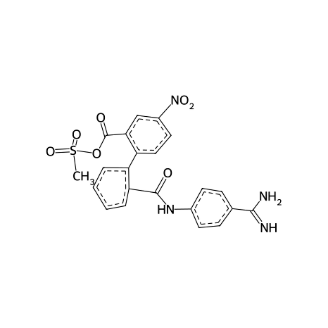 CS(=O)(=O)OC(=O)c1cc([N+](=O)[O-])ccc1-c1ccccc1C(=O)Nc1ccc(C(=N)N)cc1